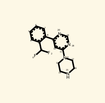 FC(F)c1ccccc1-c1cc(N2CCNCC2)ncn1